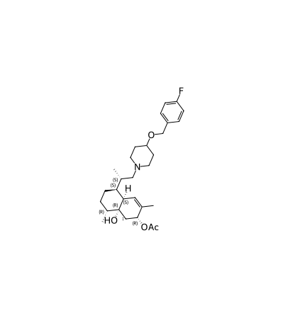 CC(=O)O[C@@H]1[C][C@@]2(O)[C@H](C)CC[C@@H]([C@H](C)CN3CCC(OCc4ccc(F)cc4)CC3)[C@H]2C=C1C